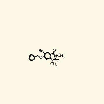 Cn1c(=O)c2cc(Br)c(OCc3ccccc3)cc2n(C)c1=O